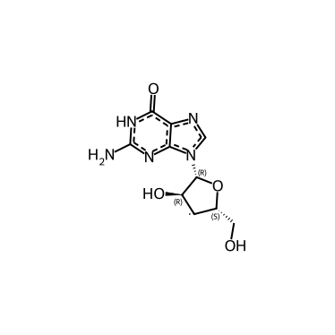 Nc1nc2c(ncn2[C@@H]2O[C@H](CO)[CH][C@H]2O)c(=O)[nH]1